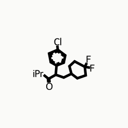 CC(C)C(=O)C(CC1CCC(F)(F)CC1)c1ccc(Cl)cc1